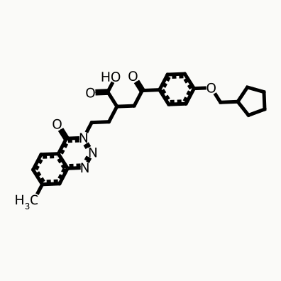 Cc1ccc2c(=O)n(CCC(CC(=O)c3ccc(OCC4CCCC4)cc3)C(=O)O)nnc2c1